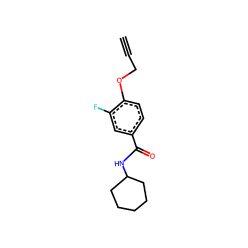 C#CCOc1ccc(C(=O)NC2CCCCC2)cc1F